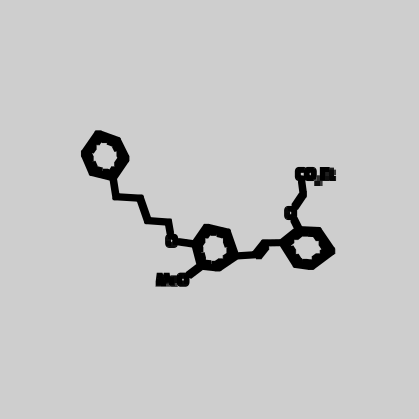 CCOC(=O)COc1ccccc1C=Cc1ccc(OCCCCc2ccccc2)c(OC)c1